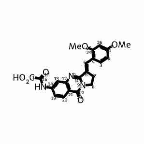 COc1ccc(C=C2CCn3c2nc2cc(NC(=O)C(=O)O)ccc2c3=O)c(OC)c1